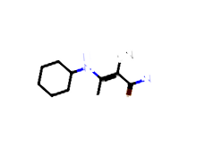 C/C(NC1CCCCC1)=C(/C#N)C(N)=S